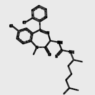 CC(C)CCCC(C)NC(=S)NC1N=C(c2ccccc2Cl)c2cc(Cl)ccc2N(C)C1=O